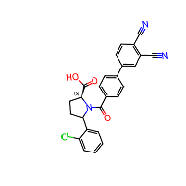 N#Cc1ccc(-c2ccc(C(=O)N3C(c4ccccc4Cl)CC[C@H]3C(=O)O)cc2)cc1C#N